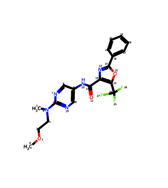 COCCN(C)c1ncc(NC(=O)c2nc(-c3ccccc3)oc2C(F)(F)F)cn1